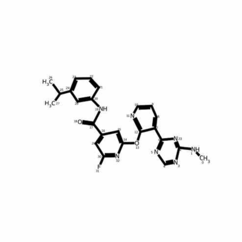 CNc1ncnc(-c2cccnc2Oc2cc(C(=O)Nc3cccc(C(C)C)c3)cc(F)n2)n1